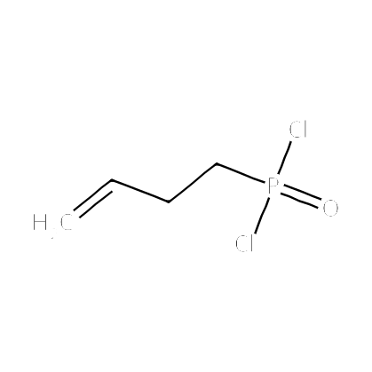 C=CCCP(=O)(Cl)Cl